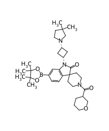 CC1(C)CCN([C@H]2C[C@@H](N3C(=O)C4(CCN(C(=O)C5CCCOC5)CC4)c4ccc(B5OC(C)(C)C(C)(C)O5)cc43)C2)C1